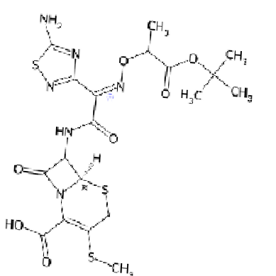 CSC1=C(C(=O)O)N2C(=O)C(NC(=O)/C(=N/OC(C)C(=O)OC(C)(C)C)c3nsc(N)n3)[C@H]2SC1